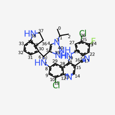 CC(C)N1C=C([C@@H](Nc2cc(Cl)c3ncc(C#N)c(Nc4ccc(F)c(Cl)c4)c3c2)c2cccc3c2CCN3)NN1